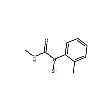 CNC(=O)N(S)c1ccccc1C